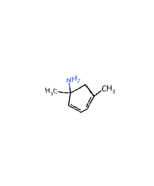 CC1=CC=CC(C)(N)C1